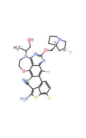 CC(CO)N1CCOc2c(Cl)c(-c3ccc(F)c4sc(N)c(C#N)c34)c(F)c3nc(OC[C@@]45CCCN4C[C@H](F)C5)nc1c23